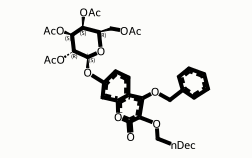 CCCCCCCCCCCOc1c(OCc2ccccc2)c2ccc(O[C@@H]3O[C@H](COC(C)=O)[C@H](OC(C)=O)[C@H](OC(C)=O)[C@H]3OC(C)=O)cc2oc1=O